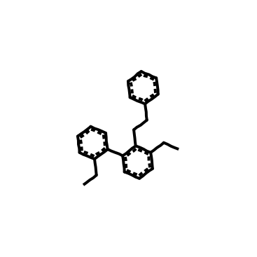 CCc1ccccc1-c1cccc(CC)c1CCc1ccccc1